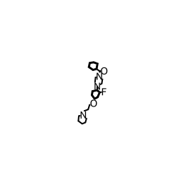 O=C(c1ccccc1)N1CCN(c2ccc(OCCCN3CCCCC3)cc2F)CC1